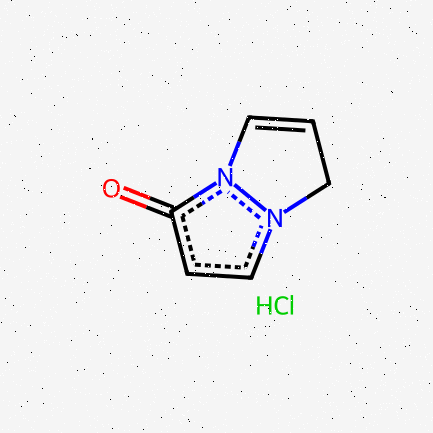 Cl.O=c1ccn2n1C=CC2